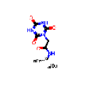 CCC[C@H](NC(=O)Cn1c(=O)[nH]c(=O)[nH]c1=O)[C@H](C)CC